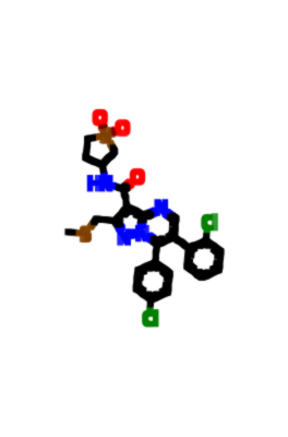 CSCc1nn2c(-c3ccc(Cl)cc3)c(-c3ccccc3Cl)cnc2c1C(=O)NC1CCS(=O)(=O)C1